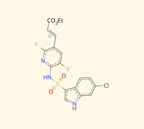 CCOC(=O)/C=C/c1cc(F)c(NS(=O)(=O)c2c[nH]c3cc(Cl)ccc23)nc1F